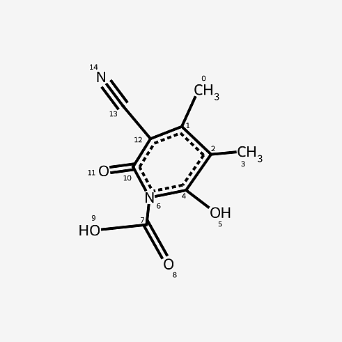 Cc1c(C)c(O)n(C(=O)O)c(=O)c1C#N